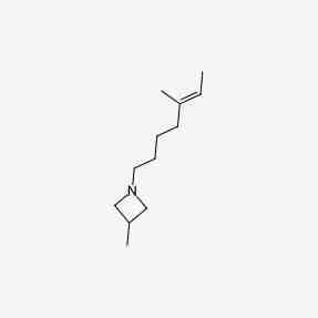 C/C=C(\C)CCCCN1CC(C)C1